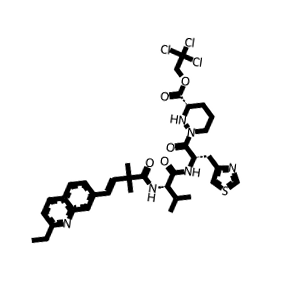 CCc1ccc2ccc(/C=C/C(C)(C)C(=O)N[C@H](C(=O)N[C@@H](Cc3cscn3)C(=O)N3CCC[C@@H](C(=O)OCC(Cl)(Cl)Cl)N3)C(C)C)cc2n1